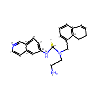 NCCN(Cc1cccc2c1CCC=C2)C(=S)Nc1ccc2cnccc2c1